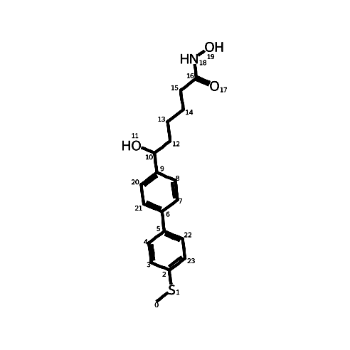 CSc1ccc(-c2ccc(C(O)CCCCC(=O)NO)cc2)cc1